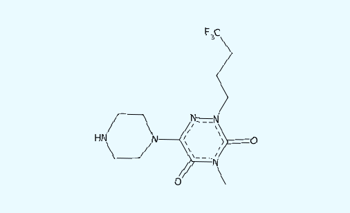 Cn1c(=O)c(N2CCNCC2)nn(CCCC(F)(F)F)c1=O